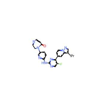 CC(C)c1cnn2ccc(-c3nc(Nc4ccc(N5CC=NC=CC5=O)cn4)ncc3F)cc12